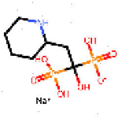 O=P([O-])(O)C(O)(CC1CCCCN1)P(=O)(O)O.[Na+]